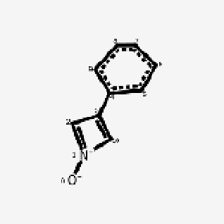 [O-][N+]1=CC(c2ccccc2)=C1